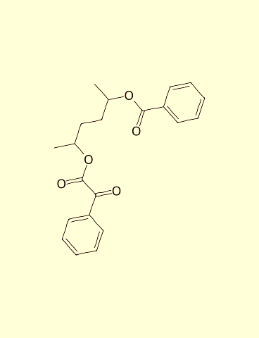 CC(CCC(C)OC(=O)c1ccccc1)OC(=O)C(=O)c1ccccc1